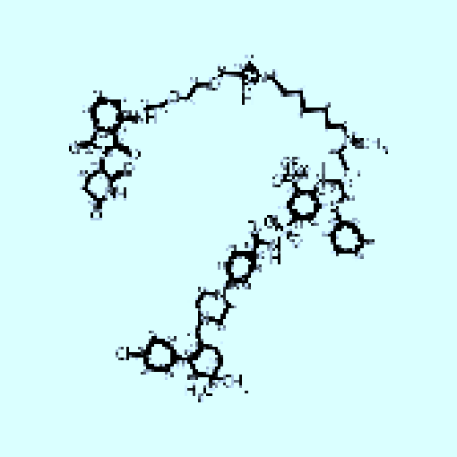 CN(CCCCCCCn1cc(COCCOCCNc2cccc3c2C(=O)N(C2CCC(=O)NC2=O)C3=O)[nH]1)CC[C@H](CSc1ccccc1)Nc1ccc(S(=O)(=O)NC(=O)c2ccc(N3CCN(CC4=C(c5ccc(Cl)cc5)CC(C)(C)CC4)CC3)cc2)cc1S(=O)(=O)C(F)(F)F